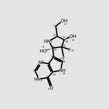 O=c1[nH]cnc2c([C@@]3(O)NC(CO)[C@@H](O)C3(F)F)c[nH]c12